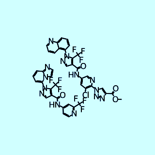 COC(=O)c1cn(-c2ncc(NC(=O)c3cnn(-c4cccc5ncccc45)c3C(F)(F)F)cc2Cl)nn1.O=C(Nc1ccnc(C(F)(F)F)c1)c1cnn(-c2cccc3nccn23)c1C(F)(F)F